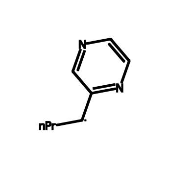 CCC[CH]c1cnccn1